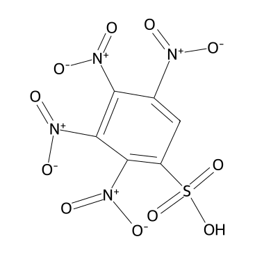 O=[N+]([O-])c1cc(S(=O)(=O)O)c([N+](=O)[O-])c([N+](=O)[O-])c1[N+](=O)[O-]